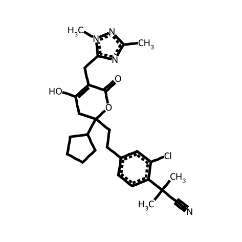 Cc1nc(CC2=C(O)CC(CCc3ccc(C(C)(C)C#N)c(Cl)c3)(C3CCCC3)OC2=O)n(C)n1